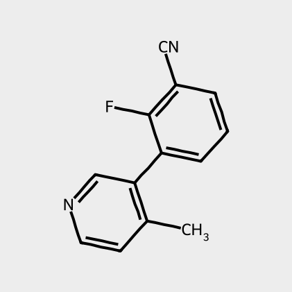 Cc1ccncc1-c1cccc(C#N)c1F